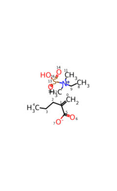 C=C(CCC)C(=O)[O-].CC[N+](C)(C)S(=O)(=O)O